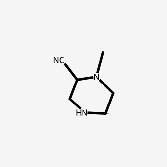 CN1C[CH]NCC1C#N